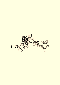 Cc1ccc(O)cc1S(=O)(=O)N(C(=O)O)c1ccc(SCc2ccccc2)cc1